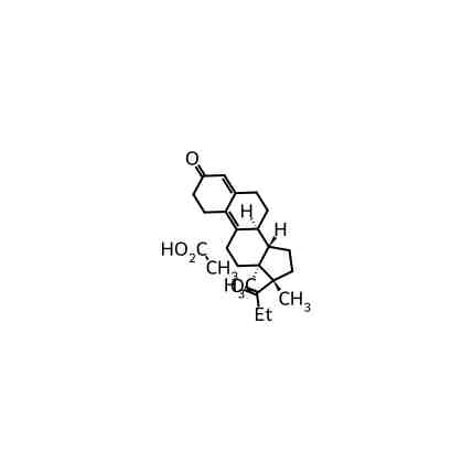 CC(=O)O.CCC(=O)[C@@]1(C)CC[C@H]2[C@@H]3CCC4=CC(=O)CCC4=C3CC[C@@]21C